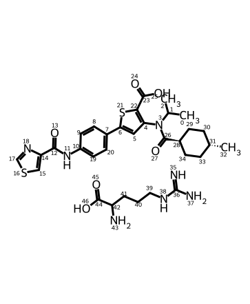 CC(C)N(c1cc(-c2ccc(NC(=O)c3cscn3)cc2)sc1C(=O)O)C(=O)[C@H]1CC[C@H](C)CC1.N=C(N)NCCCC(N)C(=O)O